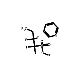 O=S(=O)(OF)C(F)(F)C(F)(F)CC(F)(F)F.c1ccncc1